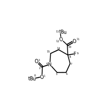 CC(C)(C)OC(=O)N1CCCC(F)(C(=O)OC(C)(C)C)CC1